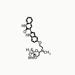 COCC(OS(C)(=O)=O)N(C)CCOc1ccc2[nH]c(-c3cc4ccccc4[nH]c3=O)cc2c1